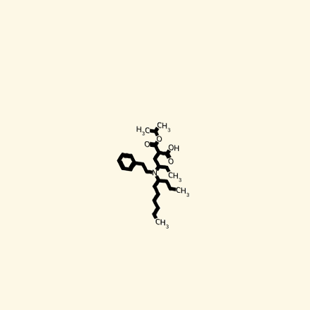 CCCCCCC(CCC)N(CCc1ccccc1)C(CC)CC(C(=O)O)C(=O)OC(C)C